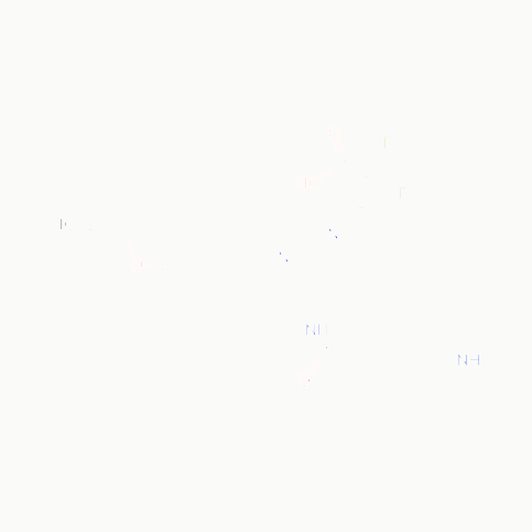 O=C(O)C(F)(F)F.O=C(O)COc1ccc(C(CNC(=O)c2cc3c(s2)CCNC3)n2ccnc2)cc1